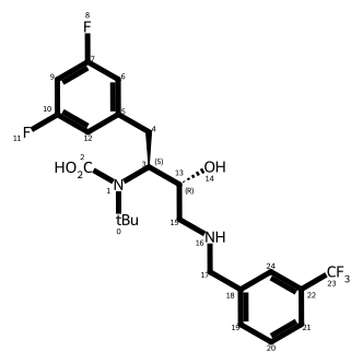 CC(C)(C)N(C(=O)O)[C@@H](Cc1cc(F)cc(F)c1)[C@H](O)CNCc1cccc(C(F)(F)F)c1